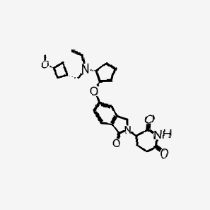 CCN(C[C@H]1C[C@@H](OC)C1)[C@@H]1CCC[C@H]1Oc1ccc2c(c1)CN(C1CCC(=O)NC1=O)C2=O